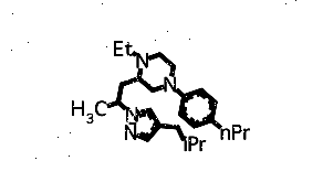 CCCc1ccc(N2CCN(CC)C(CC(C)n3cc(CC(C)C)cn3)C2)cc1